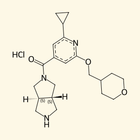 Cl.O=C(c1cc(OCC2CCOCC2)nc(C2CC2)c1)N1C[C@@H]2CNC[C@H]2C1